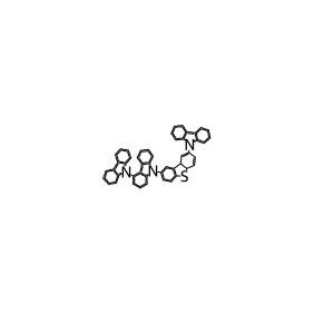 C1=CC2Sc3ccc(-n4c5ccccc5c5c(-n6c7ccccc7c7ccccc76)cccc54)cc3C2C=C1n1c2ccccc2c2ccccc21